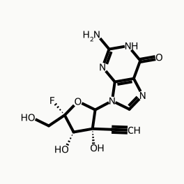 C#C[C@]1(O)C(n2cnc3c(=O)[nH]c(N)nc32)O[C@](F)(CO)[C@H]1O